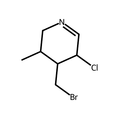 CC1CN=CC(Cl)C1CBr